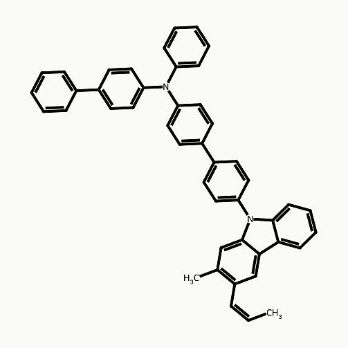 C/C=C\c1cc2c3ccccc3n(-c3ccc(-c4ccc(N(c5ccccc5)c5ccc(-c6ccccc6)cc5)cc4)cc3)c2cc1C